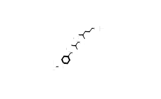 CCCCC1COC(C2COC(c3ccc(OC(F)F)cc3)OC2)OC1